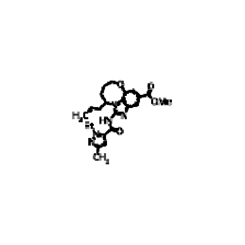 C=CCC1CCCOc2cc(C(=O)OC)cc3nc(NC(=O)c4cc(C)nn4CC)n1c23